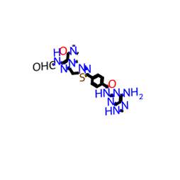 CN(C)C(=O)c1c(NC=O)nc(Cc2nnc(-c3ccc(C(=O)Nc4nc(N)c5nc[nH]c5n4)cc3)s2)n1C